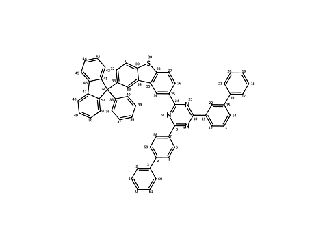 c1ccc(-c2ccc(-c3nc(-c4cccc(-c5ccccc5)c4)nc(-c4ccc5sc6ccc(C7(c8ccccc8)c8ccccc8-c8ccccc87)cc6c5c4)n3)cc2)cc1